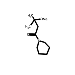 COC(C)(C)CC(=O)N1CCCCC1